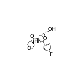 O=C(N[C@@H](COCCO)C(=O)N1CCOCC1)c1ccc(F)cc1